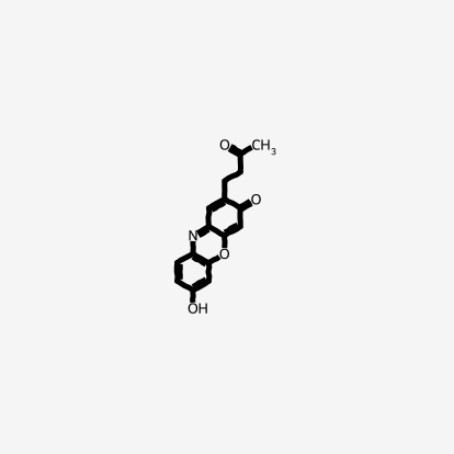 CC(=O)CCc1cc2nc3ccc(O)cc3oc-2cc1=O